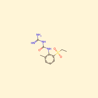 CCS(=O)(=O)c1cccc(C)c1NC(=O)NC(=N)N